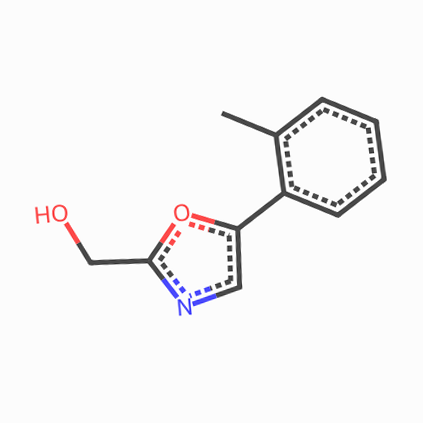 Cc1ccccc1-c1cnc(CO)o1